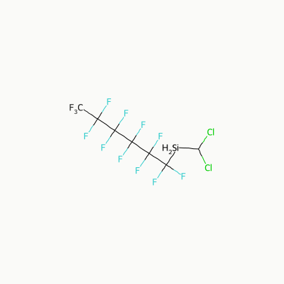 FC(F)(F)C(F)(F)C(F)(F)C(F)(F)C(F)(F)C(F)(F)[SiH2]C(Cl)Cl